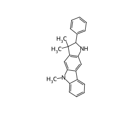 Cn1c2ccccc2c2cc3c(cc21)C(C)(C)C(c1ccccc1)N3